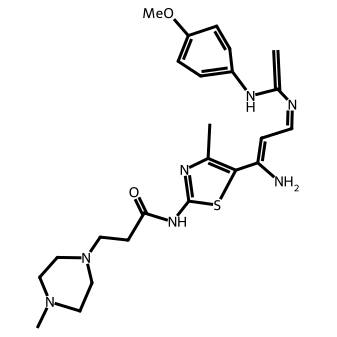 C=C(/N=C\C=C(/N)c1sc(NC(=O)CCN2CCN(C)CC2)nc1C)Nc1ccc(OC)cc1